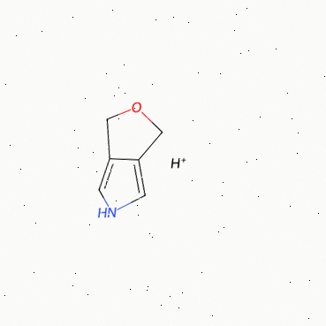 [H+].c1[nH]cc2c1COC2